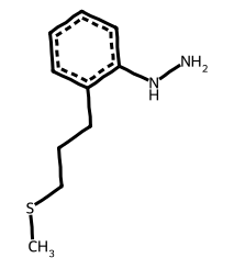 CSCCCc1ccccc1NN